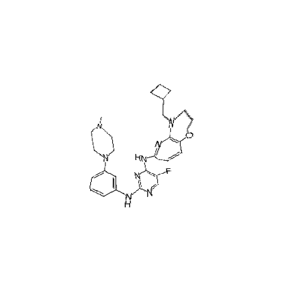 CN1CCN(c2cccc(Nc3ncc(F)c(Nc4ccc5c(n4)N(CC4CCC4)CCO5)n3)c2)CC1